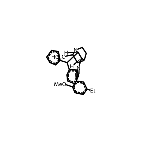 CCc1ccc(OC)c(CN[C@H]2C3CCN(C(C(=O)O)C3)[C@H]2C(c2ccccc2)c2ccccc2)c1